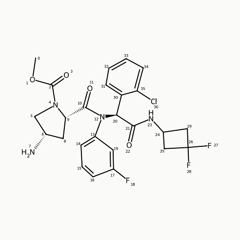 COC(=O)N1C[C@@H](N)C[C@H]1C(=O)N(c1cccc(F)c1)[C@H](C(=O)NC1CC(F)(F)C1)c1ccccc1Cl